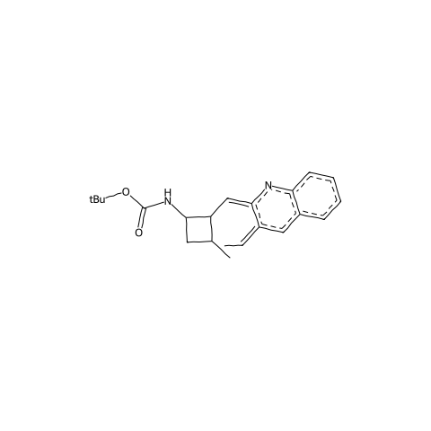 C/C=c1/cc2ccccc2n/c1=C/C1C(C)CC1NC(=O)OC(C)(C)C